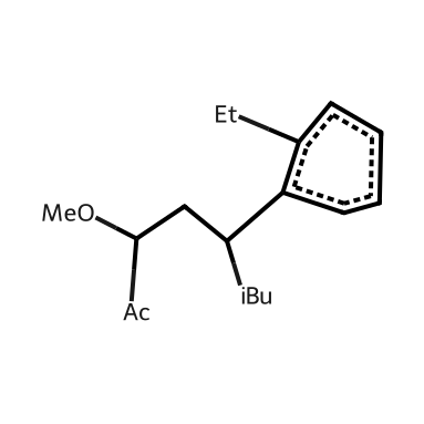 CCc1ccccc1C(CC(OC)C(C)=O)C(C)CC